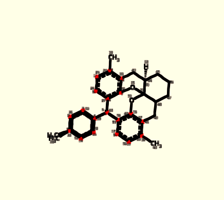 Cc1ccc(P(c2ccc(C)cc2)c2cccc3c2OC24Oc5c(cccc5P(c5ccc(C)cc5)c5ccc(C)cc5)C[C@H]2CCCC4C3)cc1